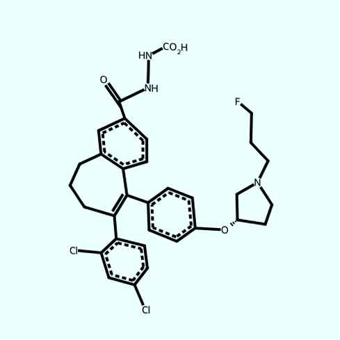 O=C(O)NNC(=O)c1ccc2c(c1)CCCC(c1ccc(Cl)cc1Cl)=C2c1ccc(O[C@H]2CCN(CCCF)C2)cc1